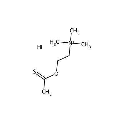 CC(=S)OCC[N+](C)(C)C.I